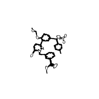 COCOc1ccc(C(O[SH](=O)=O)c2ccc(C)cc2)cc1-c1ccc(=O)n(Cc2cccc(C(=O)OC)c2)n1